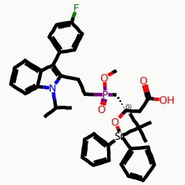 COP(=O)(CCc1c(-c2ccc(F)cc2)c2ccccc2n1C(C)C)C[C@H](CC(=O)O)O[Si](c1ccccc1)(c1ccccc1)C(C)(C)C